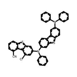 N#Cc1cccc2sc3cc(N(c4ccccc4)c4ccc5c(c4)sc4ccc(N(c6ccccc6)c6ccccc6)cc45)cc(Cl)c3c12